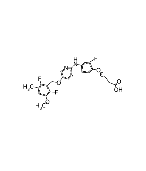 COc1cc(C)c(F)c(COc2cnc(Nc3ccc(OCCCC(=O)O)c(F)c3)nc2)c1F